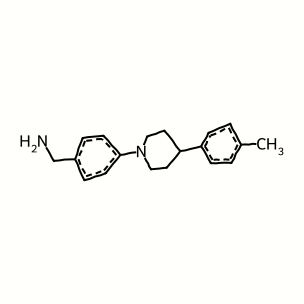 Cc1ccc(C2CCN(c3ccc(CN)cc3)CC2)cc1